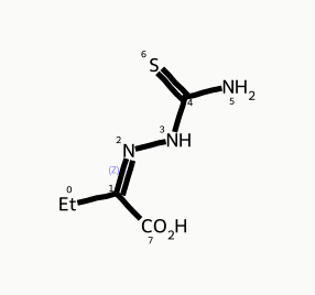 CC/C(=N/NC(N)=S)C(=O)O